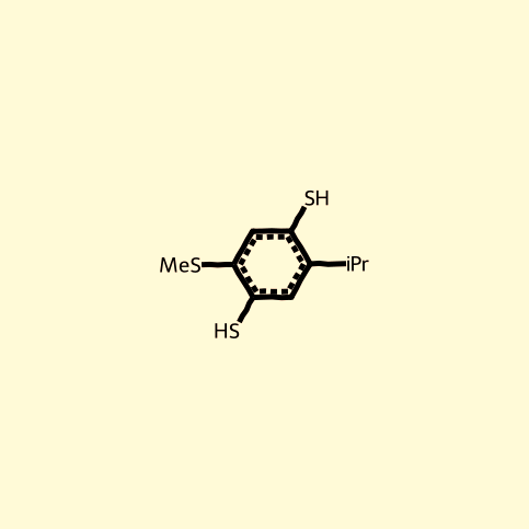 CSc1cc(S)c(C(C)C)cc1S